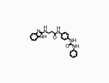 O=C(CCNc1nc2ccccc2[nH]1)Nc1ccc(NC(=O)Nc2ccccc2)cc1